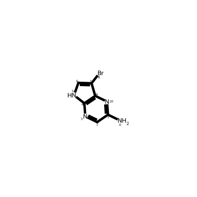 Nc1cnc2[nH]cc(Br)c2n1